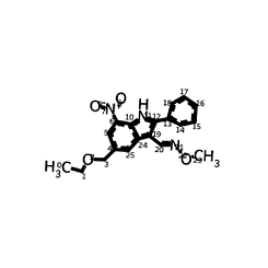 CCOCc1cc([N+](=O)[O-])c2[nH]c(-c3ccccc3)c(/C=N/OC)c2c1